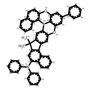 CC1(C)c2cc3c(cc2-c2c1cc(N(c1ccccc1)c1ccccc1)c1ccccc21)Oc1cc(-c2ccccc2)cc2c1B3c1c(ccc3ccccc13)O2